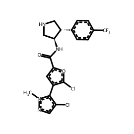 Cn1ncc(Cl)c1-c1cc(C(=O)N[C@H]2CNC[C@@H]2c2ccc(C(F)(F)F)cc2)oc1Cl